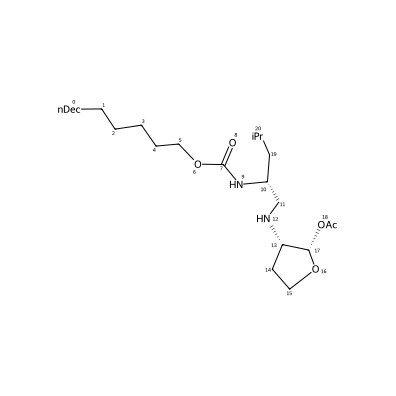 CCCCCCCCCCCCCCCOC(=O)N[C@@H](CN[C@H]1CCO[C@H]1OC(C)=O)CC(C)C